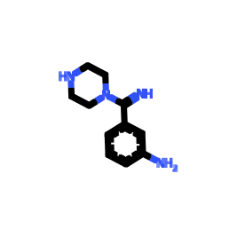 N=C(c1cccc(N)c1)N1CCNCC1